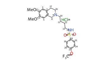 COc1cc2c(cc1OC)CN(CCCCNS(=O)(=O)c1ccc(OC(F)(F)F)cc1)CC2.Cl